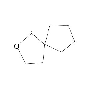 [CH]1OCCC12CCCC2